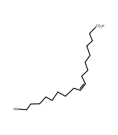 O=C(O)CCCCCCC/C=C\CCCCCCCCS